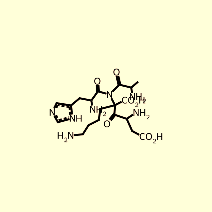 CC(N)C(=O)N(C(=O)C(N)Cc1cnc[nH]1)C(CCCCN)(C(=O)O)C(=O)C(N)CC(=O)O